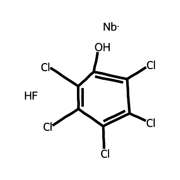 F.Oc1c(Cl)c(Cl)c(Cl)c(Cl)c1Cl.[Nb]